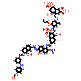 CCCOc1cc(N=Nc2cc(S(=O)(=O)O)cc3cc(S(=O)(=O)O)cc(O)c23)c(C)cc1N=Nc1c(S(=O)(=O)O)cc2cc(N=Nc3c(NC)ccc4c(O)c(N=Nc5ccc6ccc(N=Nc7cccc(Nc8ccc(OC=O)cc8)c7)c(O)c6c5)ccc34)ccc2c1O